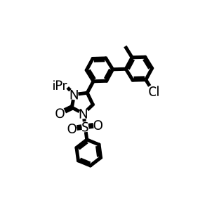 Cc1ccc(Cl)cc1-c1cccc(C2CN(S(=O)(=O)c3ccccc3)C(=O)N2C(C)C)c1